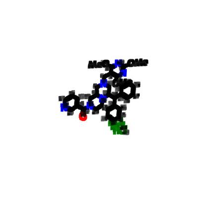 COc1nc(OC)c(CN2CC3CN(C(=O)c4cccnc4)CCN3C(C(c3ccccc3)c3ccccc3)C2)c(OC)n1.Cl.Cl.Cl